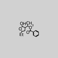 CC[C@@H]1CC(C(C)OC(=O)c2ccccc2)C(O)O1